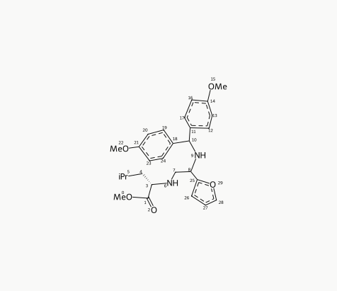 COC(=O)[C@H](CC(C)C)NCC(NC(c1ccc(OC)cc1)c1ccc(OC)cc1)c1ccco1